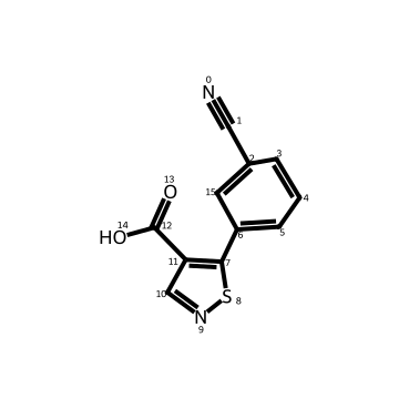 N#Cc1cccc(-c2sncc2C(=O)O)c1